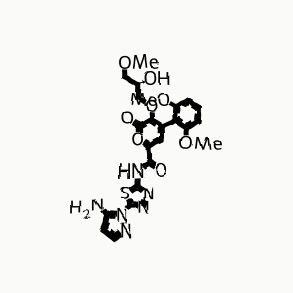 COC[C@H](O)COc1c(-c2c(OC)cccc2OC)cc(C(=O)Nc2nnc(-n3nccc3N)s2)oc1=O